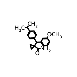 COc1cccc(C(c2ccc(C(C)C)cc2)C2(C(N)=O)CC2)c1